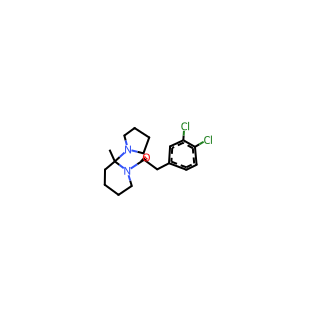 CC1(N2CCCC2)CCCCN1C(=O)Cc1ccc(Cl)c(Cl)c1